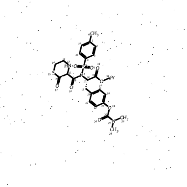 Cc1ccc(S(=O)(=O)N(C(=O)C2NCCSC2=O)[C@@H](Cc2ccc(OC(=O)N(C)C)cc2)C(=O)OC(C)C)cc1